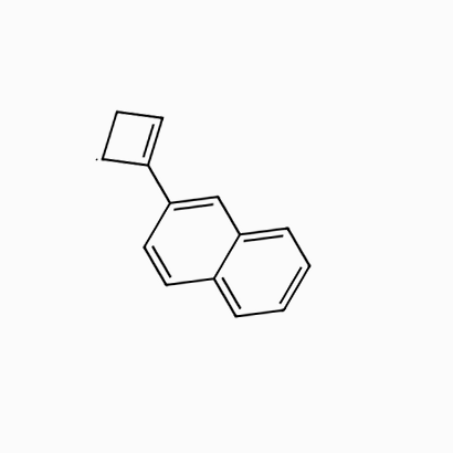 [CH]1CC=C1c1ccc2ccccc2c1